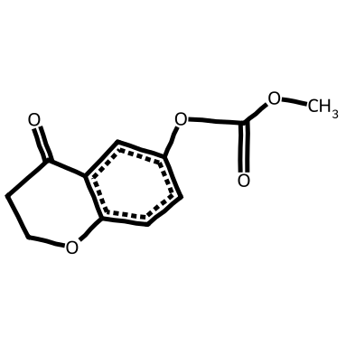 COC(=O)Oc1ccc2c(c1)C(=O)CCO2